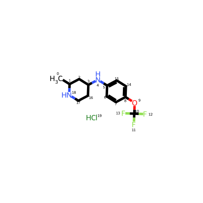 CC1CC(Nc2ccc(OC(F)(F)F)cc2)CCN1.Cl